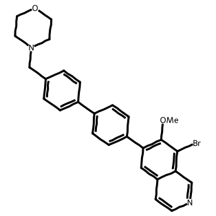 COc1c(-c2ccc(-c3ccc(CN4CCOCC4)cc3)cc2)cc2ccncc2c1Br